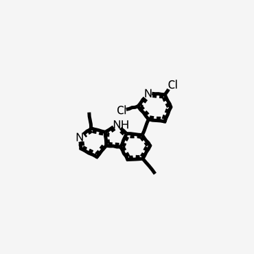 Cc1cc(-c2ccc(Cl)nc2Cl)c2[nH]c3c(C)nccc3c2c1